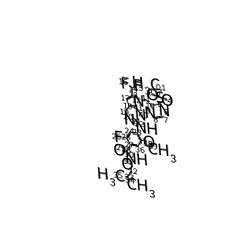 CCS(=O)(=O)c1nccnc1Cn1c(C(F)F)cc2cnc(Nc3cc(F)c(C(=O)NOCC(C)C)cc3OC)nc21